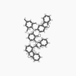 Cc1cc(C)c(N(c2ccc3oc4ccccc4c3c2)c2cccc(-n3c(-c4cccc5oc6ccccc6c45)nc4ccccc43)c2Cl)c(C)c1